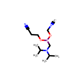 [C-]#[N+]COP(CN(C(C)C)C(C)C)OCCC#N